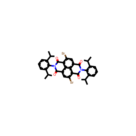 CC(C)c1cccc(C(C)C)c1N1C(=O)c2cc(Br)c3c4c(cc(Br)c(c24)C1=O)C(=O)N(c1c(C(C)C)cccc1C(C)C)C3=O